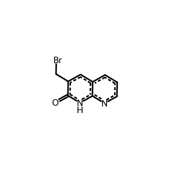 O=c1[nH]c2ncccc2cc1CBr